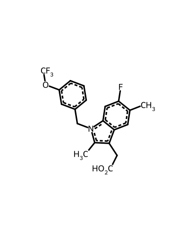 Cc1cc2c(CC(=O)O)c(C)n(Cc3cccc(OC(F)(F)F)c3)c2cc1F